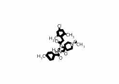 CON1CCC(C(=O)NC(=O)c2ccc(C)cc2)(N(C)C(=O)Cc2c(C)cc(Cl)cc2C)CC1